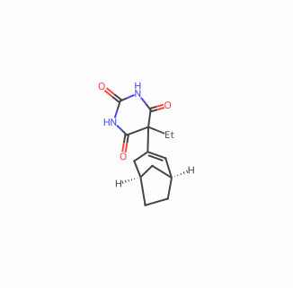 CCC1(C2=C[C@H]3CC[C@@H](C2)C3)C(=O)NC(=O)NC1=O